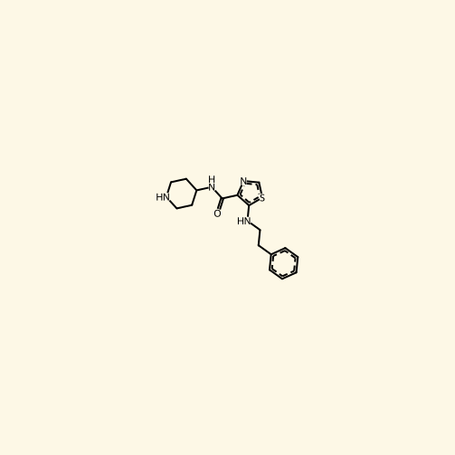 O=C(NC1CCNCC1)c1ncsc1NCCc1ccccc1